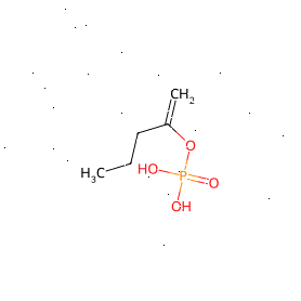 C=C(CCC)OP(=O)(O)O